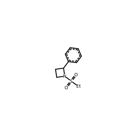 CCS(=O)(=O)N1CCC1c1ccccc1